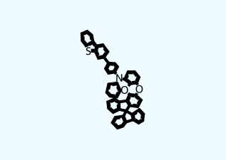 c1ccc(N(c2ccc(-c3ccc4c(c3)sc3ccccc34)cc2)c2cccc3c2Oc2c(ccc4c2-c2ccccc2C42c4ccccc4-c4ccccc42)O3)cc1